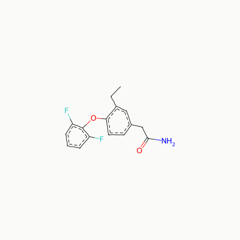 CCc1cc(CC(N)=O)ccc1Oc1c(F)cccc1F